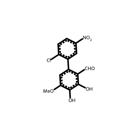 COc1cc(-c2cc([N+](=O)[O-])ccc2Cl)c(C=O)c(O)c1O